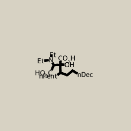 CCCCCCCCCCCCC(CCCCC)C(O)(C(=O)O)C(C(=O)O)N(CC)CC